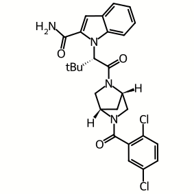 CC(C)(C)[C@@H](C(=O)N1C[C@@H]2C[C@H]1CN2C(=O)c1cc(Cl)ccc1Cl)n1c(C(N)=O)cc2ccccc21